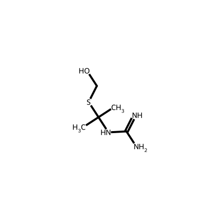 CC(C)(NC(=N)N)SCO